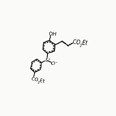 CCOC(=O)CCc1cc([S+]([O-])c2cccc(C(=O)OCC)c2)ccc1O